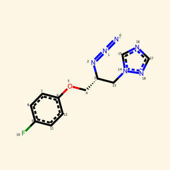 [N-]=[N+]=N[C@@H](COc1ccc(F)cc1)Cn1cncn1